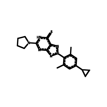 Cc1cc(C2CC2)cc(C)c1-n1nc2nc(N3CCCC3)[nH]c(=S)c2n1